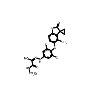 CCOC(=O)NC(=O)C(C#N)=NNc1cc(Cl)c(Oc2ccc3c(c2C)C2(CC2)C(=O)N3)c(Cl)c1